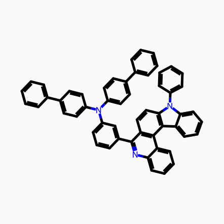 c1ccc(-c2ccc(N(c3ccc(-c4ccccc4)cc3)c3cccc(-c4nc5ccccc5c5c4ccc4c5c5ccccc5n4-c4ccccc4)c3)cc2)cc1